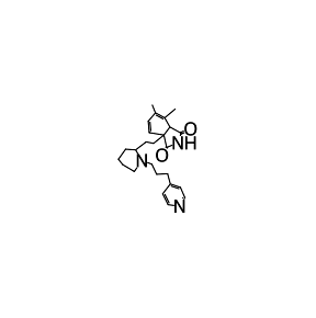 CC1=C(C)C2C(=O)NC(=O)C2(CCC2CCCCN2CCCc2ccncc2)C=C1